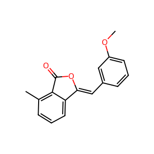 COc1cccc(/C=C2\OC(=O)c3c(C)cccc32)c1